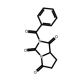 O=C(c1ccccc1)N1C(=O)C2CCC(=O)N2C1=O